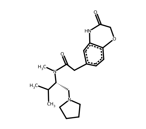 CC(C)[C@@H](CN1CCCC1)N(C)C(=O)Cc1ccc2c(c1)NC(=O)CO2